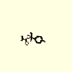 C=CC(C)(OC(=O)C(=C)C)c1ccc(C)cc1